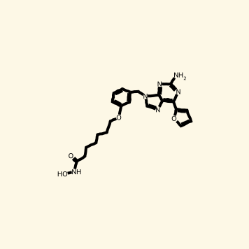 Nc1nc(-c2ccco2)c2ncn(Cc3cccc(OCCCCCCC(=O)NO)c3)c2n1